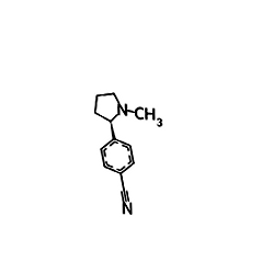 CN1CCC[C@@H]1c1ccc(C#N)cc1